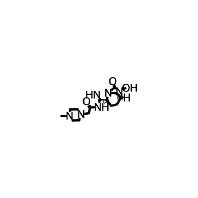 CN1CCN(CC(=O)NC(=N)[C@@H]2CC[C@@H]3CN2C(=O)N3O)CC1